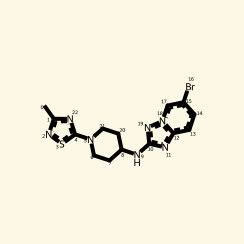 Cc1nsc(N2CCC(Nc3nc4ccc(Br)cn4n3)CC2)n1